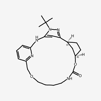 CC(C)(C)n1nc2cc1Nc1cccc(n1)COCCCCNC(=O)O[C@@H]1CC[C@H]2C1